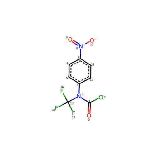 O=C(Cl)N(c1ccc([N+](=O)[O-])cc1)C(F)(F)F